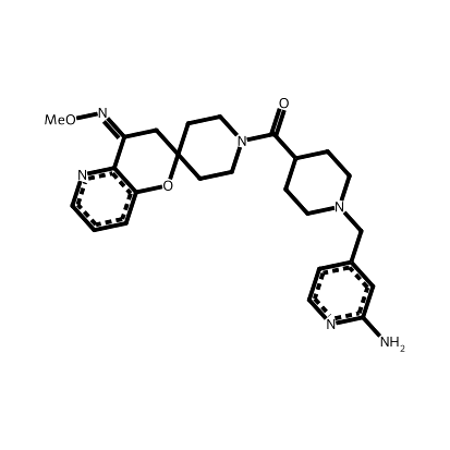 CO/N=C1/CC2(CCN(C(=O)C3CCN(Cc4ccnc(N)c4)CC3)CC2)Oc2cccnc21